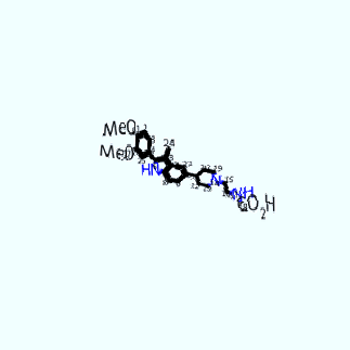 COc1ccc(-c2[nH]c3ccc(C4CCN(CCNC(=O)O)CC4)cc3c2C)cc1OC